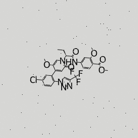 CC[C@@H](C(=O)Nc1ccc(C(=O)OC)c(OC)c1)n1cc(OC)c(-c2cc(Cl)ccc2-n2cc(C(F)(F)F)nn2)cc1=O